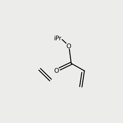 C=C.C=CC(=O)OC(C)C